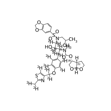 [2H]c1sc(C([2H])[2H])nc1C([2H])([2H])Oc1c([2H])c([2H])c(C([2H])([2H])[C@]([2H])(N([2H])C(=O)O[C@H]2CO[C@H]3OCC[C@H]32)[C@]([2H])(O)C([2H])([2H])N(CC(C)C)S(=O)(=O)c2ccc3c(c2)OCO3)c([2H])c1[2H]